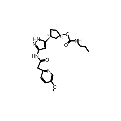 CCCNC(=O)O[C@@H]1CC[C@H](c2cc(NC(=O)Cc3ccc(OC)cn3)n[nH]2)C1